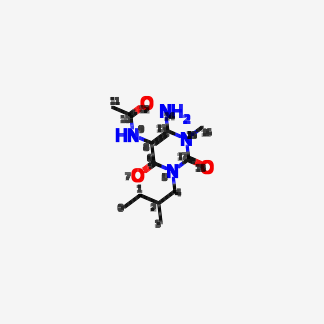 CCC(C)Cn1c(=O)c(NC(C)=O)c(N)n(C)c1=O